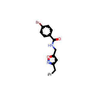 CC(C)Cc1cc(CNC(=O)c2ccc(Br)cc2)on1